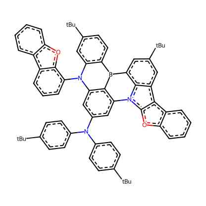 CC(C)(C)c1ccc(N(c2ccc(C(C)(C)C)cc2)c2cc3c4c(c2)-n2c5oc6ccccc6c5c5cc(C(C)(C)C)cc(c52)B4c2ccc(C(C)(C)C)cc2N3c2cccc3c2oc2ccccc23)cc1